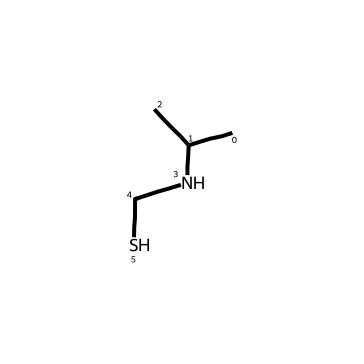 CC(C)NCS